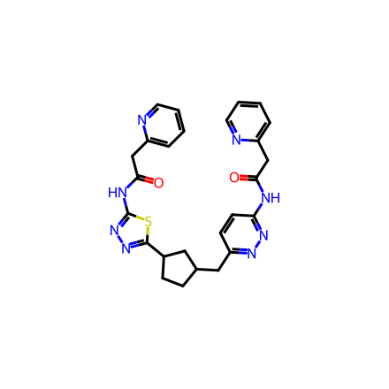 O=C(Cc1ccccn1)Nc1ccc(CC2CCC(c3nnc(NC(=O)Cc4ccccn4)s3)C2)nn1